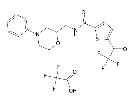 O=C(NCC1CN(c2ccccc2)CCO1)c1ccc(C(=O)C(F)(F)F)s1.O=C(O)C(F)(F)F